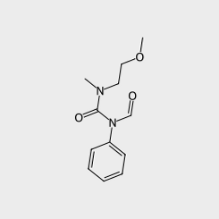 COCCN(C)C(=O)N(C=O)c1ccccc1